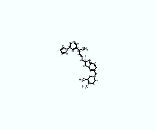 CC1CN(Cc2ccc3nc(CN/C=C(\N)c4cncc(-n5cccc5)c4)cn3c2)CCN1C